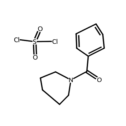 O=C(c1ccccc1)N1CCCCC1.O=S(=O)(Cl)Cl